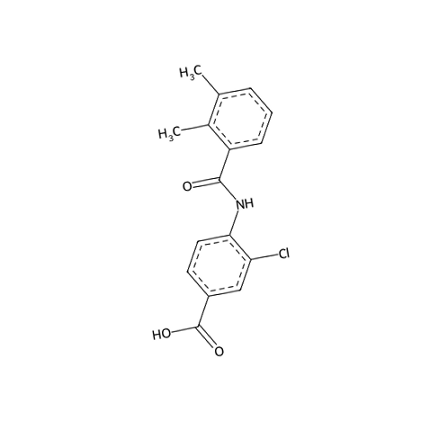 Cc1cccc(C(=O)Nc2ccc(C(=O)O)cc2Cl)c1C